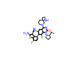 C[C@H](Oc1nc(N2CCCC3(CCN3)C2)c2cc(Cl)c(-c3ccc(F)c4sc(N)c(C#N)c34)c(F)c2n1)C1CCCN1C